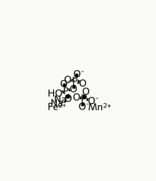 O=P([O-])([O-])OP(=O)([O-])O.O=P([O-])([O-])[O-].[Fe+2].[Mn+2].[Na+].[Na+]